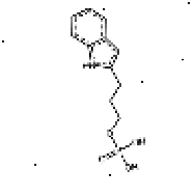 O=P(O)(O)OCCCc1cc2ccccc2[nH]1